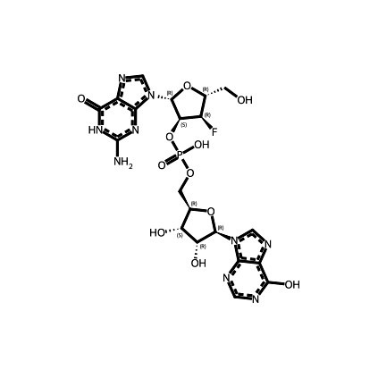 Nc1nc2c(ncn2[C@@H]2O[C@H](CO)[C@@H](F)[C@H]2OP(=O)(O)OC[C@H]2O[C@@H](n3cnc4c(O)ncnc43)[C@H](O)[C@@H]2O)c(=O)[nH]1